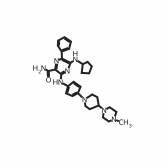 CN1CCN(C2CCN(c3ccc(Nc4nc(NC5CCCC5)c(-c5ccccc5)nc4C(N)=O)cc3)CC2)CC1